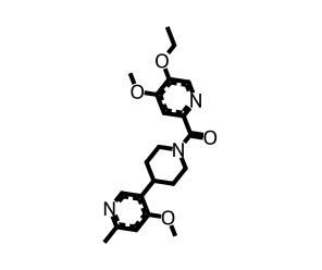 CCOc1cnc(C(=O)N2CCC(c3cnc(C)cc3OC)CC2)cc1OC